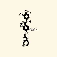 COc1cc2c(Nc3ccc(C)c(Cl)c3)ncnc2cc1OCc1nc2c(s1)CNCC2